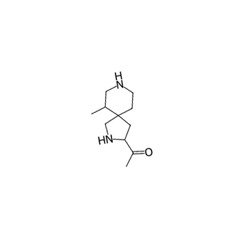 CC(=O)C1CC2(CCNCC2C)CN1